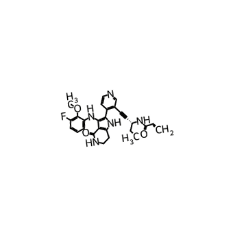 C=CC(=O)N[C@@H](C#Cc1cnccc1-c1[nH]c2c(c1Nc1cccc(F)c1OC)C(=O)NCC2)CC